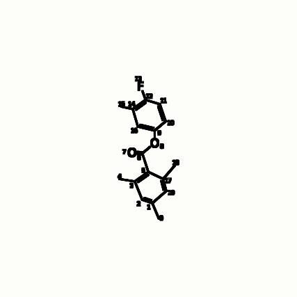 Cc1cc(C)c(C(=O)Oc2ccc(F)c(C)c2)c(C)c1